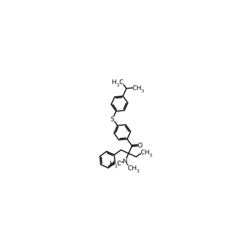 CCC(Cc1ccccc1)(C(=O)c1ccc(Sc2ccc(C(C)C)cc2)cc1)N(C)C